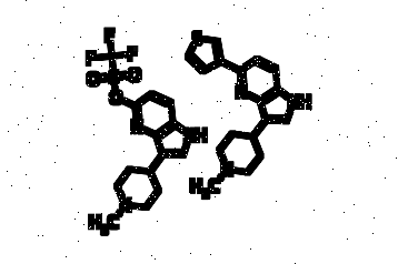 CN1CCC(c2c[nH]c3ccc(-c4ccsc4)nc23)CC1.CN1CCC(c2c[nH]c3ccc(OS(=O)(=O)C(F)(F)F)nc23)CC1